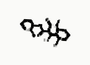 [2H]c1ccccc1NC(=O)c1c(O)c2c(Cl)cccc2n(C)c1=O